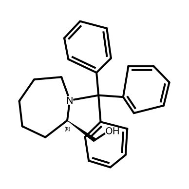 OC[C@H]1CCCCCN1C(c1ccccc1)(c1ccccc1)c1ccccc1